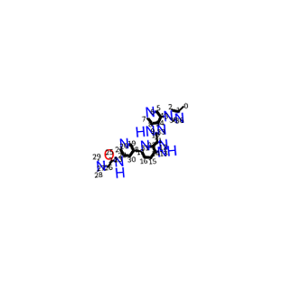 Cc1cn(-c2cncc3[nH]c(-c4n[nH]c5ccc(-c6cncc(NC(=O)CN(C)C)c6)nc45)nc23)cn1